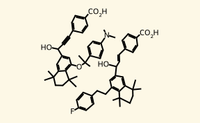 CC1(C)CCC(C)(C)c2c(CCc3ccc(F)cc3)cc(C(O)C=Cc3ccc(C(=O)O)cc3)cc21.CN(C)c1ccc(C(C)(C)Oc2cc(C(O)C#Cc3ccc(C(=O)O)cc3)cc3c2C(C)(C)CCC3(C)C)cc1